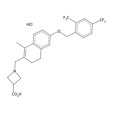 CC1=C(CN2CC(C(=O)O)C2)CCc2cc(OCc3ccc(C(F)(F)F)cc3C(F)(F)F)ccc21.Cl